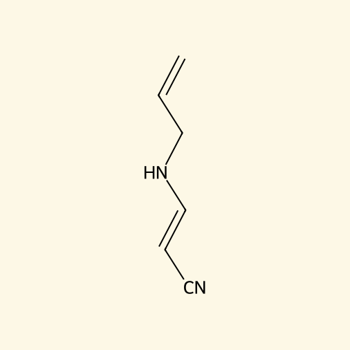 C=CCN/C=C/C#N